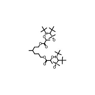 CC(CCCOC(=O)C(C)ON(C(C(C)(C)C)P(C)(C)=O)C(C)(C)C)CCOC(=O)C(C)ON(C(C(C)(C)C)P(C)(C)=O)C(C)(C)C